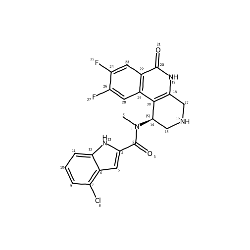 CN(C(=O)c1cc2c(Cl)cccc2[nH]1)[C@@H]1CNCc2[nH]c(=O)c3cc(F)c(F)cc3c21